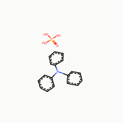 O=P(O)(O)O.c1ccc(N(c2ccccc2)c2ccccc2)cc1